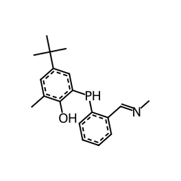 C/N=C/c1ccccc1Pc1cc(C(C)(C)C)cc(C)c1O